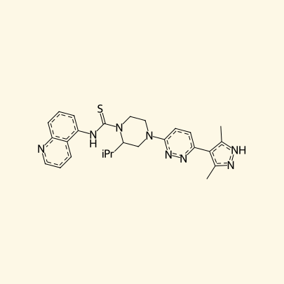 Cc1n[nH]c(C)c1-c1ccc(N2CCN(C(=S)Nc3cccc4ncccc34)C(C(C)C)C2)nn1